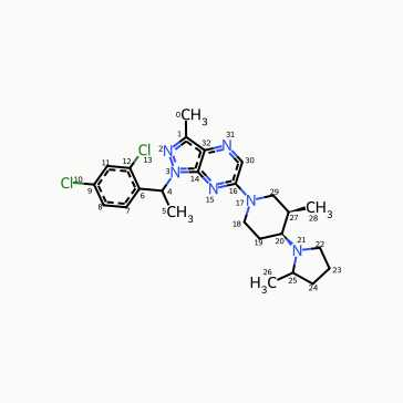 Cc1nn(C(C)c2ccc(Cl)cc2Cl)c2nc(N3CC[C@H](N4CCCC4C)[C@H](C)C3)cnc12